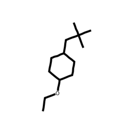 CCOC1CCC(CC(C)(C)C)CC1